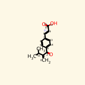 C=C(C(=O)c1ccc(/C=C/C(=O)O)cc1)C(C)C